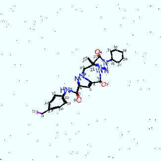 CN1C(=O)c2cc(C(=O)Nc3ccc(CI)cc3)nn2CC1(C)C(=O)NC1CCCCC1